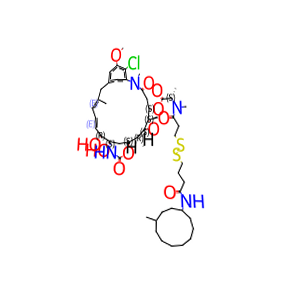 COc1cc2cc(c1Cl)N(C)C(=O)C[C@H](OC(=O)[C@H](C)N(C)C(=O)CCSSCCCC(=O)NC1CCCCCCCC(C)CC1)[C@]1(C)O[C@H]1[C@H](C)[C@@H]1C[C@@](O)(NC(=O)O1)[C@H](O)/C=C/C=C(\C)C2